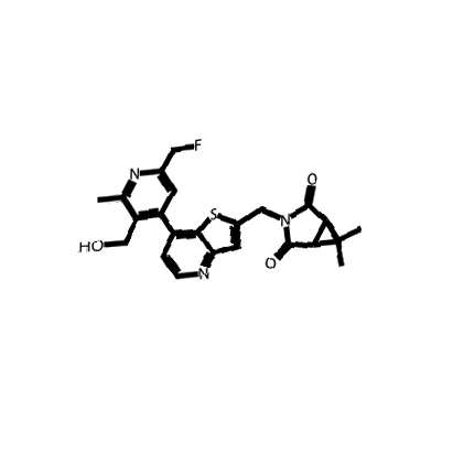 Cc1nc(CF)cc(-c2ccnc3cc(CN4C(=O)C5C(C4=O)C5(C)C)sc23)c1CO